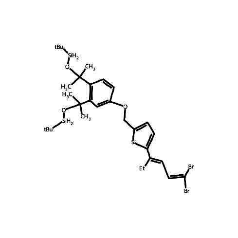 CCC(=CC=C(Br)Br)c1ccc(COc2ccc(C(C)(C)O[SiH2]C(C)(C)C)c(C(C)(C)O[SiH2]C(C)(C)C)c2)s1